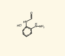 Cl.NNc1ccccc1NC=O